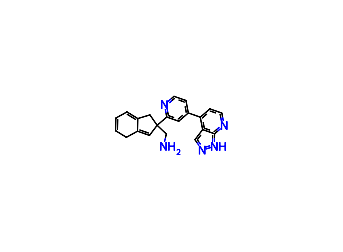 NCC1(c2cc(-c3ccnc4[nH]ncc34)ccn2)C=C2CC=CC=C2C1